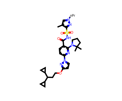 CCCn1cc(C)c(S(=O)(=O)NC(=O)c2ccc(-n3ccc(OCCC(C4CC4)C4CC4)n3)nc2N2CCCC2(C)C)n1